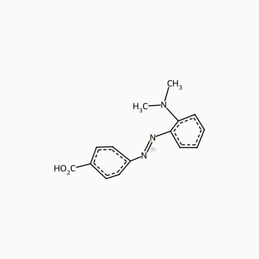 CN(C)c1ccccc1/N=N/c1ccc(C(=O)O)cc1